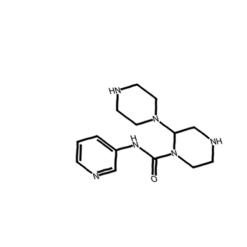 O=C(Nc1cccnc1)N1CCNCC1N1CCNCC1